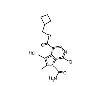 Cc1c(C)n(C(N)=O)c2c(Cl)ncc(C(=O)OCC3CCC3)c12.Cl